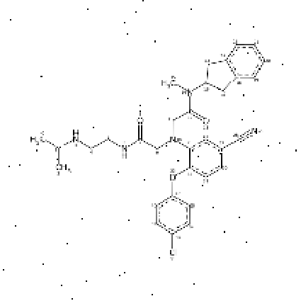 CC(C)NCCNC(=O)CN(CC(=O)N(C)C1Cc2ccccc2C1)c1cc(C#N)ccc1Oc1ccc(Cl)cc1